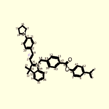 CC(C)c1ccc(OC(=O)c2ccc(C[N+]3=C(/C=C/c4ccc(N5CCCC5)cc4)C(C)(C)c4ccccc43)cc2)cc1